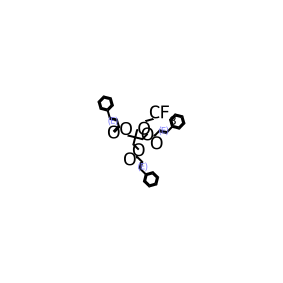 O=C(/C=C/c1ccccc1)OCC(COCCC(F)(F)F)(COC(=O)/C=C/c1ccccc1)COC(=O)/C=C/c1ccccc1